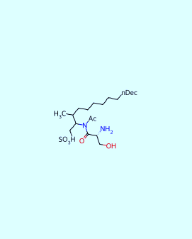 CCCCCCCCCCCCCCCCC(C)C(CS(=O)(=O)O)N(C(C)=O)C(=O)[C@H](N)CO